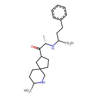 CCOC(=O)C(CCc1ccccc1)N[C@@H](C)C(=O)C1CCC2(CCC(C(=O)O)NC2)C1